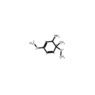 COC1=CC(N)C(C)(OC)C=C1